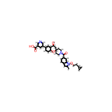 Cc1cc2ccc(C(=O)N3CCC4(CC3)CC(=O)c3cc(-c5cncc(C(=O)O)c5)ccc3O4)cc2n1OCCC1CC1